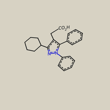 O=C(O)Cc1c(C2CCCCC2)nn(-c2ccccc2)c1-c1ccccc1